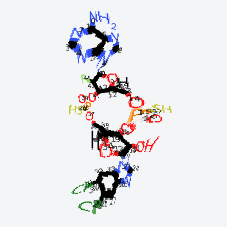 Nc1ncnc2c1ncn2[C@@H]1O[C@@H]2COP(=O)(S)OC3C(O)[C@H](n4cnc5cc(Cl)c(Cl)cc54)O[C@@H]3COP(=O)(S)OC2C1F